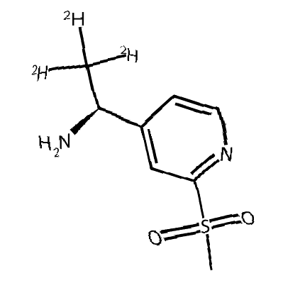 [2H]C([2H])([2H])[C@H](N)c1ccnc(S(C)(=O)=O)c1